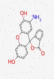 Nc1cc2c(cc1O)Oc1cc(O)ccc1C21OC(=O)c2ccccc21